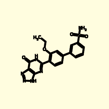 CCOc1cc(-c2cccc(S(N)(=O)=O)c2)ccc1-c1nc2[nH]nnc2c(=O)[nH]1